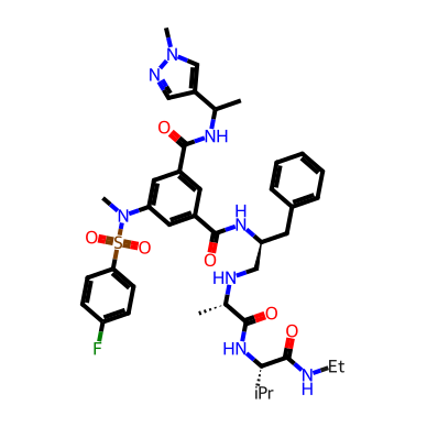 CCNC(=O)[C@@H](NC(=O)[C@H](C)NC[C@H](Cc1ccccc1)NC(=O)c1cc(C(=O)NC(C)c2cnn(C)c2)cc(N(C)S(=O)(=O)c2ccc(F)cc2)c1)C(C)C